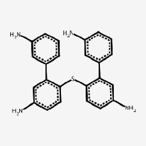 Nc1cccc(-c2cc(N)ccc2Sc2ccc(N)cc2-c2cccc(N)c2)c1